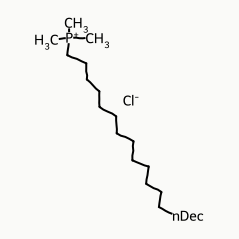 CCCCCCCCCCCCCCCCCCCCCCC[P+](C)(C)C.[Cl-]